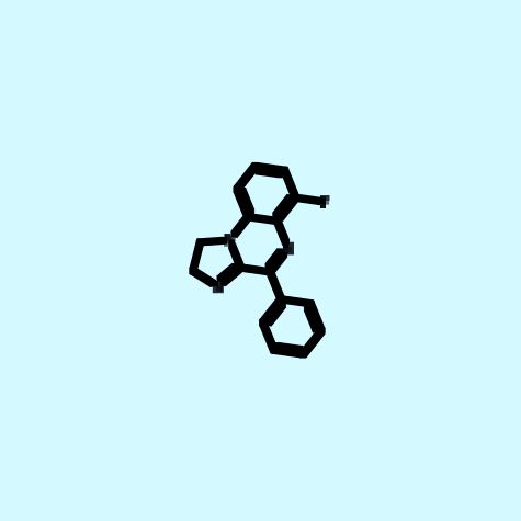 Fc1cccc2c1N=C(c1ccccc1)C1=NCCN12